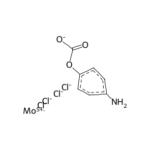 Nc1ccc(OC(=O)[O-])cc1.[Cl-].[Cl-].[Cl-].[Cl-].[Mo+5]